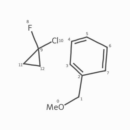 COCc1ccccc1.FC1(Cl)CC1